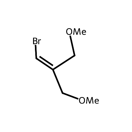 COCC(=CBr)COC